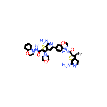 CC(C)c1c(C(=O)NN2CCOc3cc(-c4cc5c(N6CCOCC6)c(C(=O)NN6CCOc7ccccc76)sc5c(N)n4)ccc32)sc2c(N)nccc12